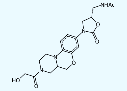 CC(=O)NC[C@H]1CN(c2ccc3c(c2)OCC2CN(C(=O)CO)CCN32)C(=O)O1